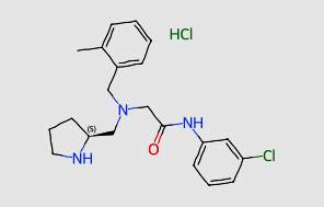 Cc1ccccc1CN(CC(=O)Nc1cccc(Cl)c1)C[C@@H]1CCCN1.Cl